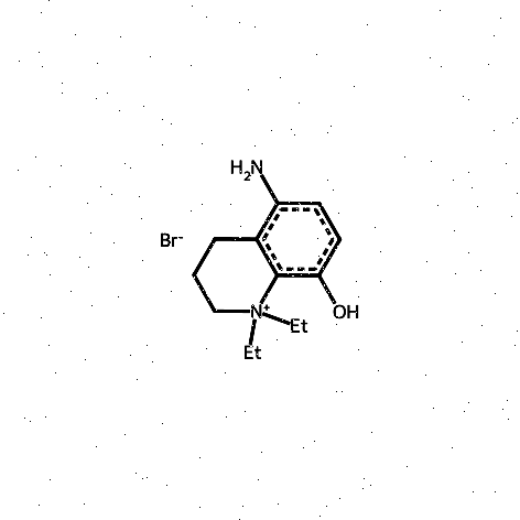 CC[N+]1(CC)CCCc2c(N)ccc(O)c21.[Br-]